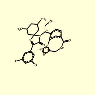 CC[C@H](c1ccc2cc1-n1[nH]nc1CNC2=O)N1C(=O)C(c2cc(F)cc(Cl)c2)=NC12CC(C)CC(C)C2